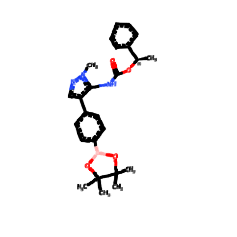 C[C@@H](OC(=O)Nc1c(-c2ccc(B3OC(C)(C)C(C)(C)O3)cc2)cnn1C)c1ccccc1